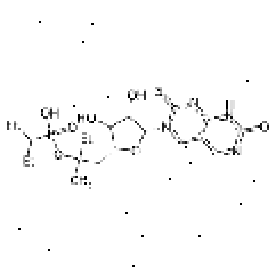 CCC(CC)P(=O)(O)OC(C)(CC)C[C@H]1O[C@@H](n2cc3cnc(=O)[nH]c3nc2=S)[C@@H](O)C1O